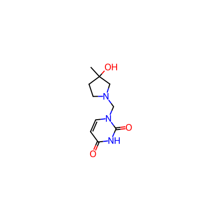 CC1(O)CCN(Cn2ccc(=O)[nH]c2=O)C1